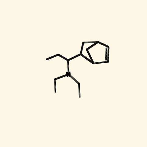 CCC(C1CC2C=CC1C2)N(CC)CC